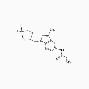 C=CC(=O)Nc1cnc2c(c1)c(C)cn2CC1CCC(F)(F)CC1